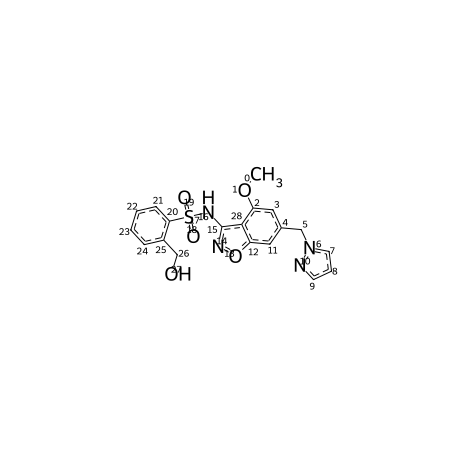 COc1cc(Cn2cccn2)cc2onc(NS(=O)(=O)c3ccccc3CO)c12